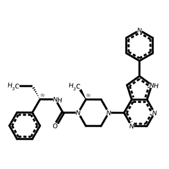 CC[C@H](NC(=O)N1CCN(c2ncnc3[nH]c(-c4ccncc4)cc23)C[C@@H]1C)c1ccccc1